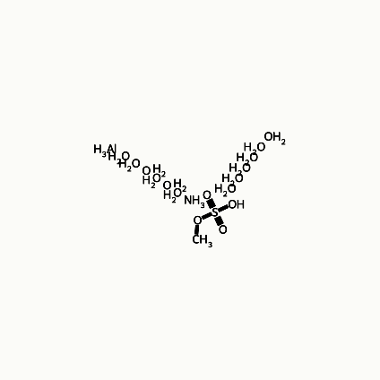 COS(=O)(=O)O.N.O.O.O.O.O.O.O.O.O.O.O.O.[AlH3]